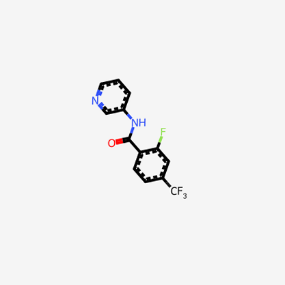 O=C(Nc1cccnc1)c1ccc(C(F)(F)F)cc1F